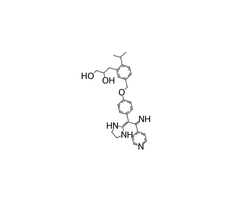 CC(C)c1ccc(COc2ccc(C(C(=N)c3ccncc3)=C3NCCN3)cc2)cc1CC(O)CO